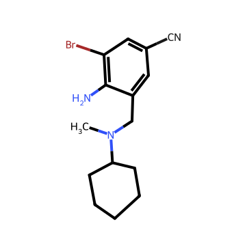 CN(Cc1cc(C#N)cc(Br)c1N)C1CCCCC1